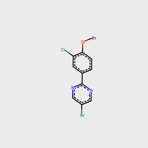 CC(C)Oc1ccc(-c2ncc(Br)cn2)cc1Cl